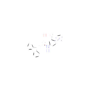 O=C(Nc1ccc(-n2cccn2)c(C(=O)O)c1)OCC1c2ccccc2-c2ccccc21